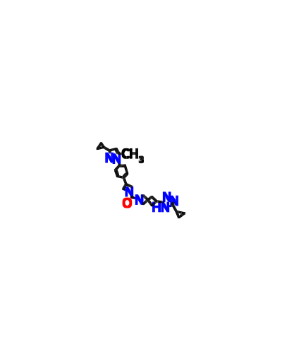 Cc1cc(C2CC2)nn1-c1ccc(C2CN(C(=O)N3CC4(CC(c5nnc(C6CC6)[nH]5)C4)C3)C2)cc1